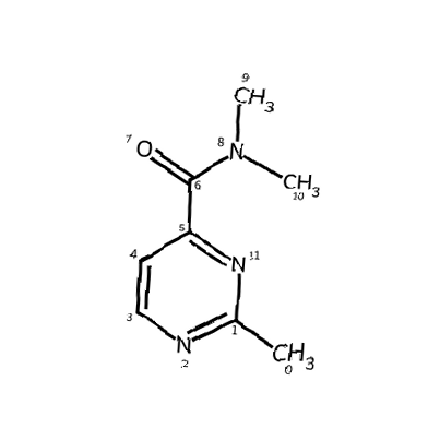 Cc1nccc(C(=O)N(C)C)n1